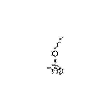 COCCCOc1ccc(C#CC(C)(C)N(C(=O)O)C2CN3CCC2CC3)cc1